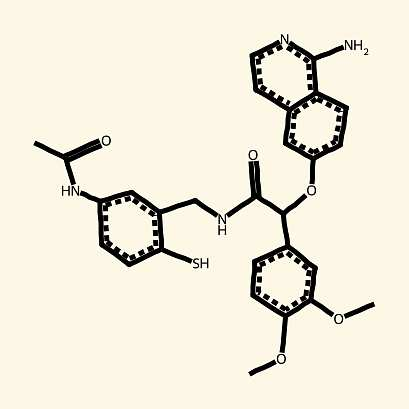 COc1ccc(C(Oc2ccc3c(N)nccc3c2)C(=O)NCc2cc(NC(C)=O)ccc2S)cc1OC